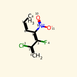 C=C(Cl)/C(F)=C(\C=C/C)[N+](=O)[O-]